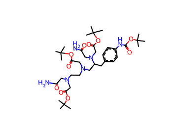 CC(C)(C)OC(=O)CN(CCN(CC(=O)OC(C)(C)C)CC(Cc1ccc(NC(=O)OC(C)(C)C)cc1)N(CC(N)=O)CC(=O)OC(C)(C)C)CC(N)=O